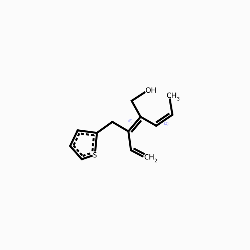 C=C/C(Cc1cccs1)=C(\C=C/C)CO